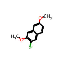 COc1ccc2cc(Br)c(OC)cc2c1